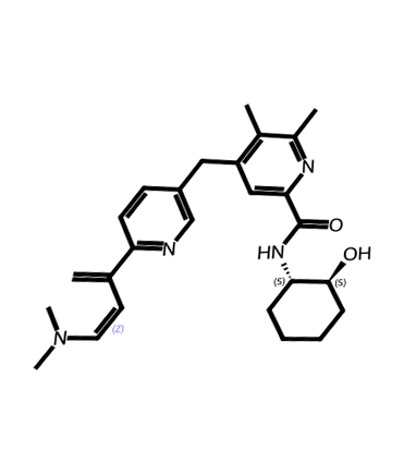 C=C(/C=C\N(C)C)c1ccc(Cc2cc(C(=O)N[C@H]3CCCC[C@@H]3O)nc(C)c2C)cn1